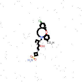 CC12C=CC(Cl)=CC1CCCCN(C[C@@H]1CC[C@H]1[C@@H](O)/C=C/[C@H]1C[C@H](S(N)(=O)=O)C1)c1cc(C(=O)O)ccc1OC2